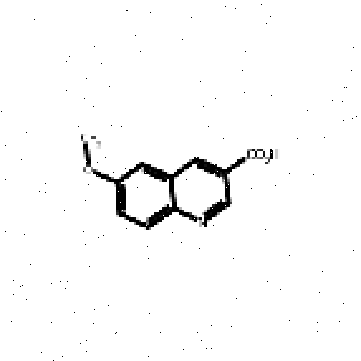 O=C(O)c1cnc2ccc(OC(F)(F)F)cc2c1